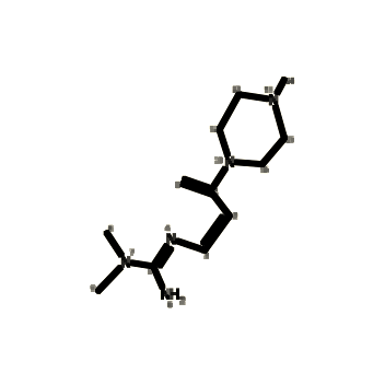 C=C(/C=C\N=C(/N)N(C)C)N1CCN(C)CC1